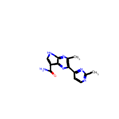 Cc1nccc(-c2nc3c(C(N)=O)c[nH]c3nc2C)n1